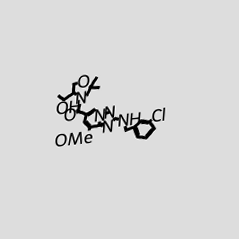 COc1cc(C(=O)N2CC(C)(C)OCC2C(C)O)cn2nc(NCc3cccc(Cl)c3)nc12